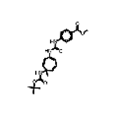 COC(=O)c1ccc(NC(=O)NC2=CC=CC(C)(NC(=O)OC(C)(C)C)C=C2)cc1